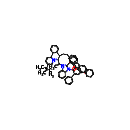 C=C1C2C(CCc3ccc4c(oc5ccccc54)c3-c3n(-c4c(-c5ccccc5)cc(-c5ccccc5)cc4-c4ccccc4)c4ccccc4[n+]31)c1ccccc1-c1ccc([Si](C)(C)C)c[n+]12